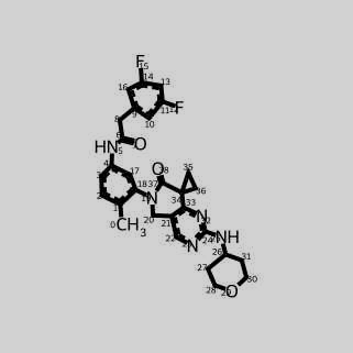 Cc1ccc(NC(=O)Cc2cc(F)cc(F)c2)cc1N1Cc2cnc(NC3CCOCC3)nc2C2(CC2)C1=O